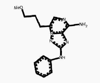 COCCCc1cnc(N)c2nc(Nc3ccccc3)nn12